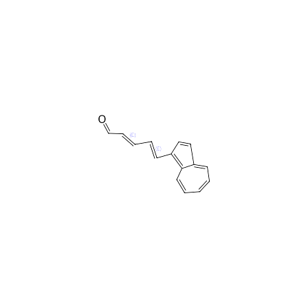 O=C/C=C/C=C/c1ccc2cccccc1-2